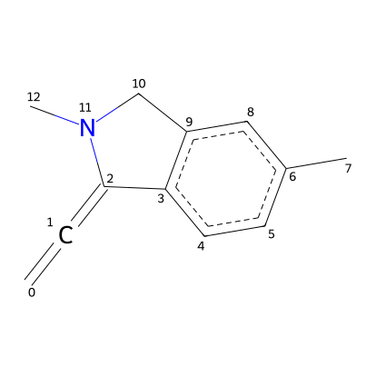 C=C=C1c2ccc(C)cc2CN1C